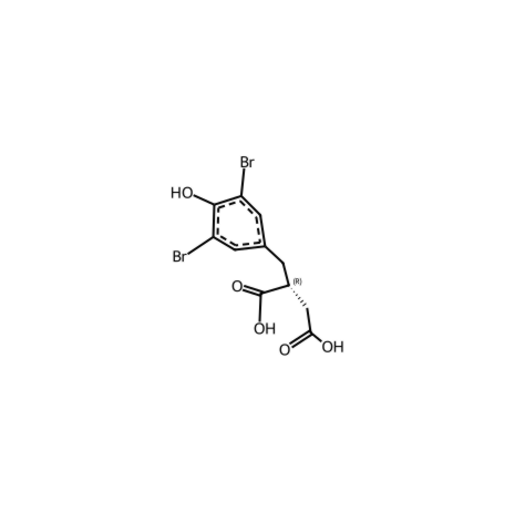 O=C(O)C[C@@H](Cc1cc(Br)c(O)c(Br)c1)C(=O)O